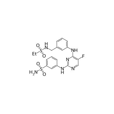 CCS(=O)(=O)NCc1cccc(Nc2nc(Nc3cccc(S(N)(=O)=O)c3)ncc2F)c1